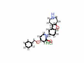 Cl.O=c1cc(OCc2ccccc2)ccn1-c1ccc2oc3c(c2c1)CCNCC3